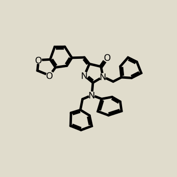 O=C1C(=Cc2ccc3c(c2)OCO3)N=C(N(Cc2ccccc2)c2ccccc2)N1Cc1ccccc1